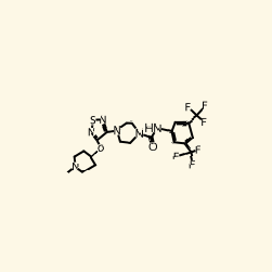 CN1CCC(Oc2nsnc2N2CCN(C(=O)Nc3cc(C(F)(F)F)cc(C(F)(F)F)c3)CC2)CC1